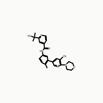 Cc1ccc(NC(=O)c2ccnc(C(C)(C)O)c2)cc1-c1cnc(N2CCOCC2)c(C#N)c1